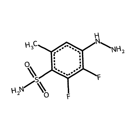 Cc1cc(NN)c(F)c(F)c1S(N)(=O)=O